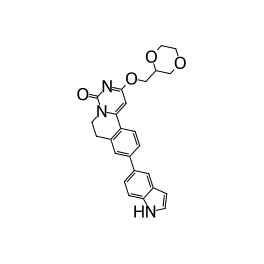 O=c1nc(OCC2COCCO2)cc2n1CCc1cc(-c3ccc4[nH]ccc4c3)ccc1-2